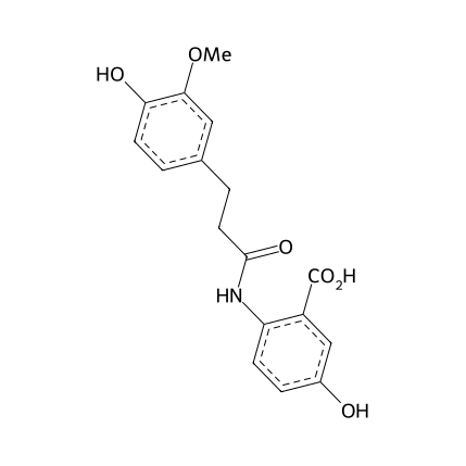 COc1cc(CCC(=O)Nc2ccc(O)cc2C(=O)O)ccc1O